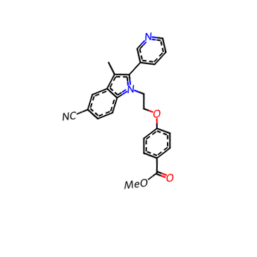 COC(=O)c1ccc(OCCn2c(-c3cccnc3)c(C)c3cc(C#N)ccc32)cc1